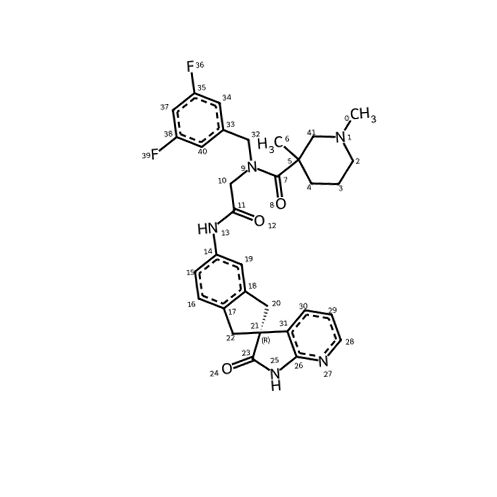 CN1CCCC(C)(C(=O)N(CC(=O)Nc2ccc3c(c2)C[C@@]2(C3)C(=O)Nc3ncccc32)Cc2cc(F)cc(F)c2)C1